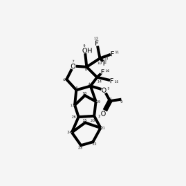 CC(=O)OC12C(COC(O)(C(F)(F)F)C1(F)F)C1CC2C2C3CCC(C3)C12